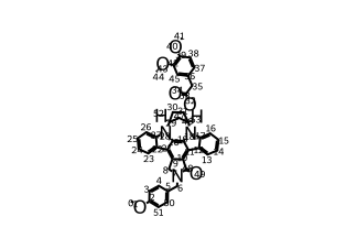 COc1ccc(CN2Cc3c(c4c5ccccc5n5c4c4c3c3ccccc3n4[C@H]3C[C@H](OC(=O)Cc4ccc(OC)c(OC)c4)[C@H]5C3)C2=O)cc1